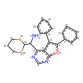 NC(c1ncnc2oc(-c3ccccc3)c(-c3ccccc3)c12)C1SCCCS1